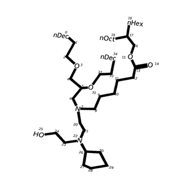 CCCCCCCCCCCCOCC(CN(CCCCCC(=O)OCC(CCCCCC)CCCCCCCC)CCN(CCO)C1CCCC1)OCCCCCCCCCCCC